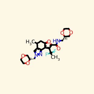 CC1Cc2oc(C(=O)NC[C@@H]3COCCO3)c(C(C)(F)F)c2-c2nn(C[C@H]3COCCO3)cc21